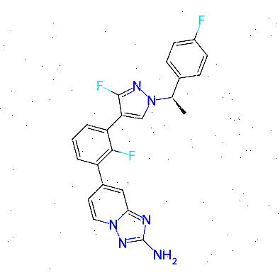 C[C@H](c1ccc(F)cc1)n1cc(-c2cccc(-c3ccn4nc(N)nc4c3)c2F)c(F)n1